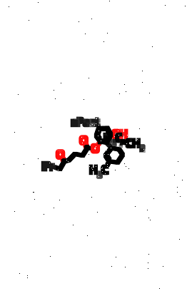 C=C(C)[C@@H]1CCC(C)=C[C@H]1c1c(O)cc(CCCCC)cc1OC(=O)CCCC(=O)CC(C)C